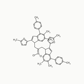 Cc1ccc(-c2c(C)c(C)cc3c2C=C(c2ccc(C)o2)C3C[SiH](CC2C(c3ccc(C)o3)=Cc3c2cc(C)c(C)c3-c2ccc(C)cc2)[Zr]([Cl])[Cl])cc1